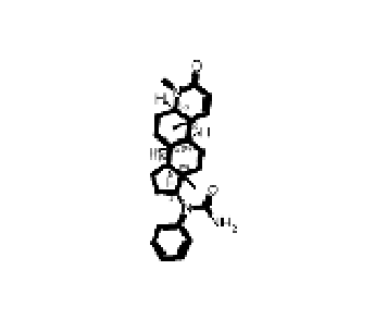 CN1C(=O)C=C[C@]2(C)[C@H]3CC[C@]4(C)[C@@H](N(C(N)=O)c5ccccc5)CC[C@H]4[C@@H]3CC[C@@H]12